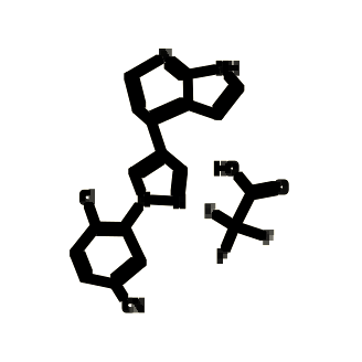 N#Cc1ccc(Cl)c(-n2cc(-c3ccnc4[nH]ccc34)cn2)c1.O=C(O)C(F)(F)F